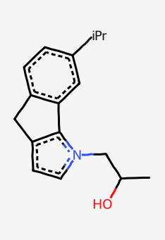 CC(O)Cn1ccc2c1-c1cc(C(C)C)ccc1C2